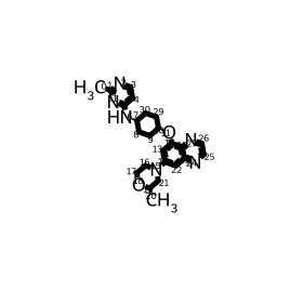 Cc1nccc(N[C@H]2CC[C@@H](Oc3cc(N4CCO[C@H](C)C4)cc4nccnc34)CC2)n1